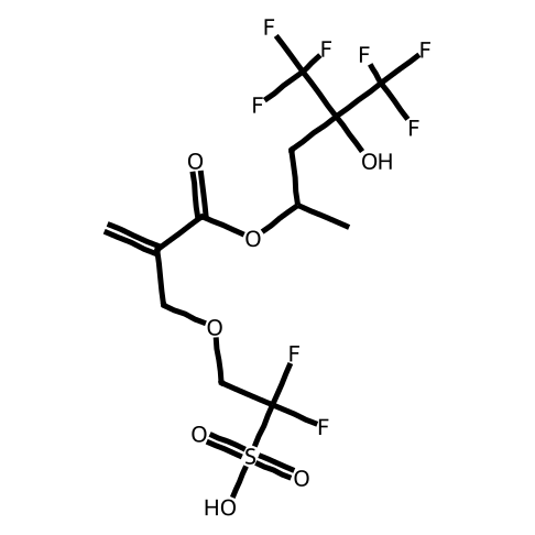 C=C(COCC(F)(F)S(=O)(=O)O)C(=O)OC(C)CC(O)(C(F)(F)F)C(F)(F)F